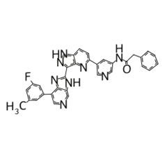 Cc1cc(F)cc(-c2cncc3[nH]c(-c4n[nH]c5ccc(-c6cncc(NC(=O)Cc7ccccc7)c6)nc45)nc23)c1